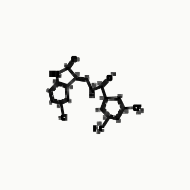 O=C1Nc2ccc(Cl)cc2C1=CNC(=O)c1cc(C(F)(F)F)cc(C(F)(F)F)c1